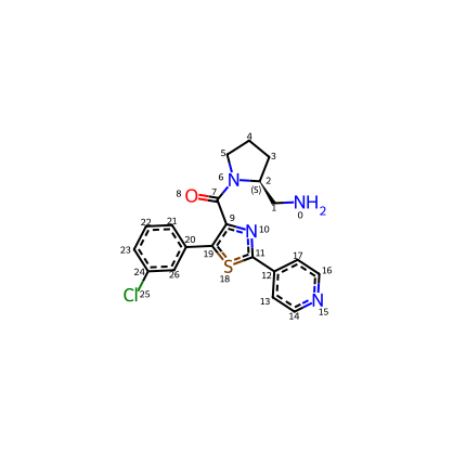 NC[C@@H]1CCCN1C(=O)c1nc(-c2ccncc2)sc1-c1cccc(Cl)c1